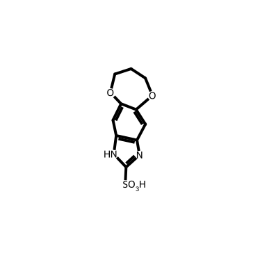 O=S(=O)(O)c1nc2cc3c(cc2[nH]1)OCCCO3